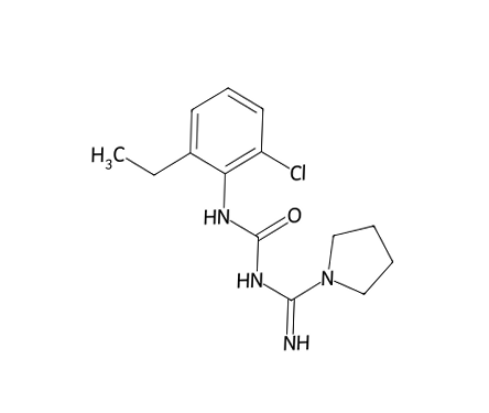 CCc1cccc(Cl)c1NC(=O)NC(=N)N1CCCC1